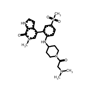 CN(C)CC(=O)N1CCC(Nc2ccc(S(C)(=O)=O)cc2-c2cn(C)c(=O)c3[nH]ccc23)CC1